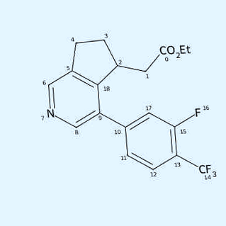 CCOC(=O)CC1CCc2cncc(-c3ccc(C(F)(F)F)c(F)c3)c21